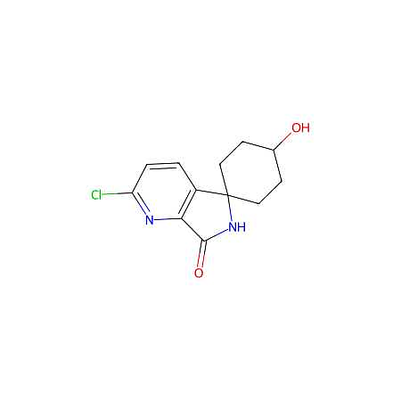 O=C1NC2(CCC(O)CC2)c2ccc(Cl)nc21